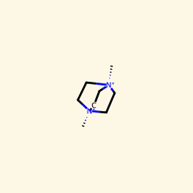 C[N@+]12CC[N@+](C)(CC1)CC2